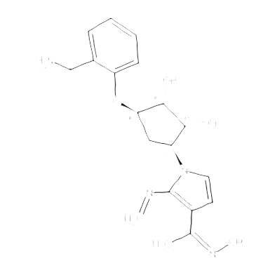 C=Nc1c(/C(C)=N\C)ccn1[C@H]1C[C@@H](Oc2ccccc2CN)[C@H](O)[C@@H]1O